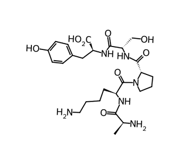 C[C@H](N)C(=O)N[C@@H](CCCCN)C(=O)N1CCC[C@H]1C(=O)N[C@@H](CO)C(=O)N[C@@H](Cc1ccc(O)cc1)C(=O)O